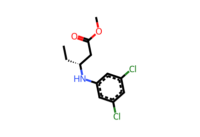 CC[C@H](CC(=O)OC)Nc1cc(Cl)cc(Cl)c1